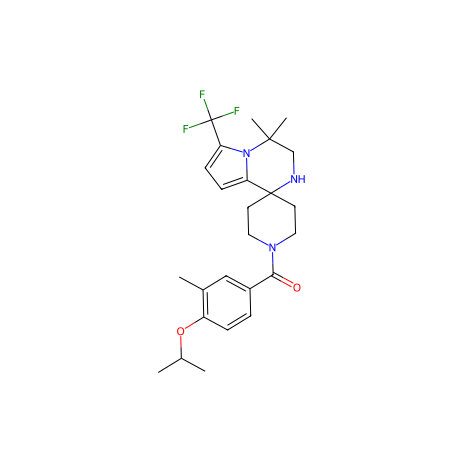 Cc1cc(C(=O)N2CCC3(CC2)NCC(C)(C)n2c(C(F)(F)F)ccc23)ccc1OC(C)C